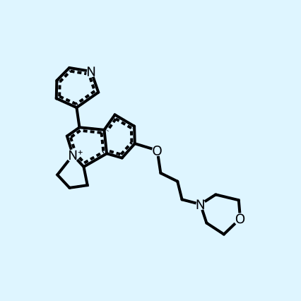 c1cncc(-c2c[n+]3c(c4cc(OCCCN5CCOCC5)ccc24)CCC3)c1